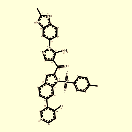 Cc1ccc(S(=O)(=O)n2c(C(=O)c3cnn(-c4ccc5[nH]c(C)nc5c4)c3N)cc3ccc(-c4cnccc4Cl)cc32)cc1